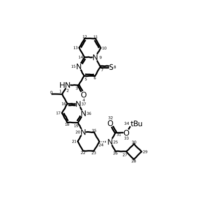 CC(NC(=O)c1cc(=S)n2ccccc2n1)c1ccc(N2CCC[C@@H](N(CC3CCC3)C(=O)OC(C)(C)C)C2)nn1